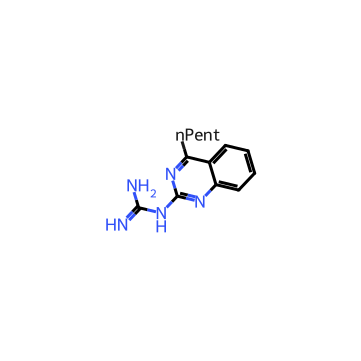 CCCCCc1nc(NC(=N)N)nc2ccccc12